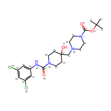 CC(C)(C)OC(=O)N1CCN(CC2(O)CCN(C(=O)Nc3cc(Cl)cc(Cl)c3)CC2)CC1